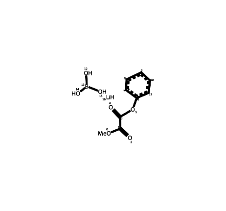 COC(=O)C(=O)Oc1ccccc1.OB(O)O.[LiH]